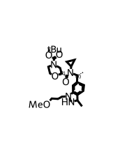 COCCCN1NC(C)c2ccc([C@@H](C)N(C(=O)[C@H]3CN(C(=O)OC(C)(C)C)CCO3)C3CC3)cc21